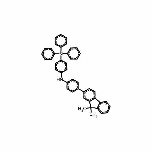 CC1(C)c2ccccc2-c2ccc(-c3ccc(Nc4ccc([Si](c5ccccc5)(c5ccccc5)c5ccccc5)cc4)cc3)cc21